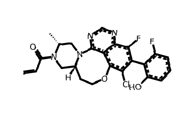 C=CC(=O)N1C[C@H]2CCOc3c(Cl)c(-c4c(O)cccc4F)c(F)c4ncnc(c34)N2C[C@H]1C